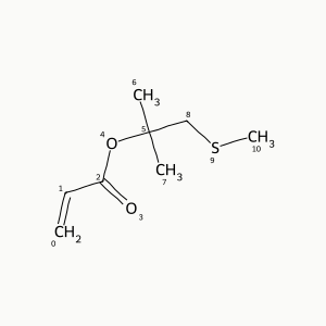 C=CC(=O)OC(C)(C)CSC